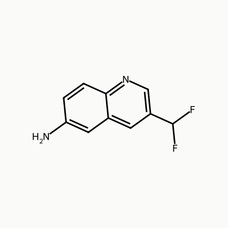 Nc1ccc2ncc(C(F)F)cc2c1